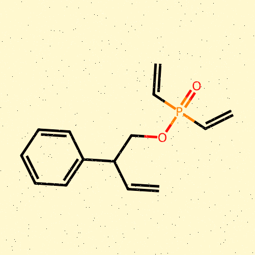 C=CC(COP(=O)(C=C)C=C)c1ccccc1